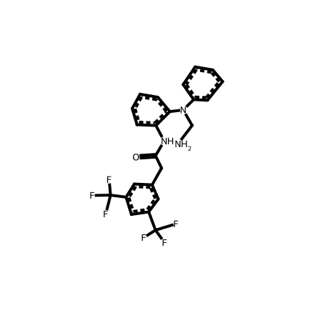 NCN(c1ccccc1)c1ccccc1NC(=O)Cc1cc(C(F)(F)F)cc(C(F)(F)F)c1